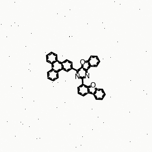 c1ccc2c(c1)oc1c(-c3nc(-c4ccc5c6ccccc6c6ccccc6c5c4)c4oc5ccccc5c4n3)cccc12